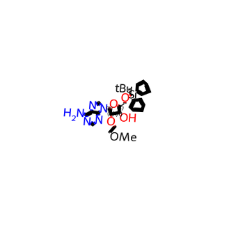 COCCO[C@@H]1[C@H](O)[C@@H](CO[Si](c2ccccc2)(c2ccccc2)C(C)(C)C)O[C@H]1n1cnc2c(N)ncnc21